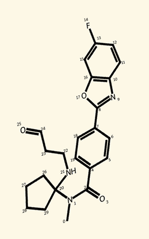 CN(C(=O)c1ccc(-c2nc3ccc(F)cc3o2)cc1)C1(NCCC=O)CCCC1